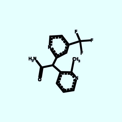 Cc1ncccc1C(C(N)=O)c1cc(C(F)(F)F)ccn1